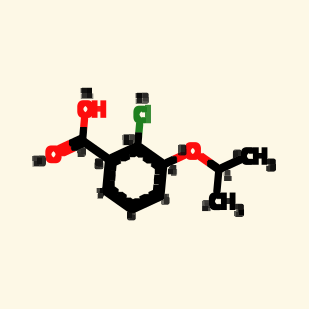 CC(C)Oc1cccc(C(=O)O)c1Cl